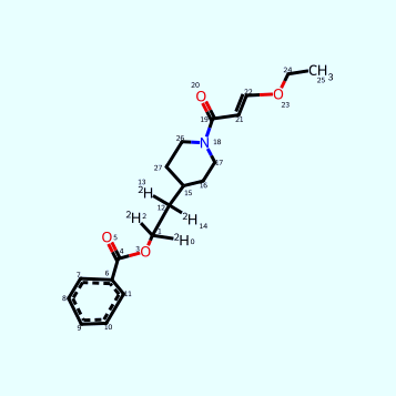 [2H]C([2H])(OC(=O)c1ccccc1)C([2H])([2H])C1CCN(C(=O)/C=C/OCC)CC1